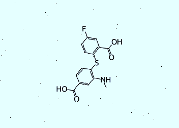 CNc1cc(C(=O)O)ccc1Sc1ccc(F)cc1C(=O)O